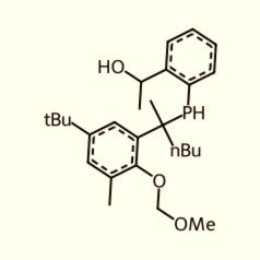 CCCCC(C)(Pc1ccccc1C(C)O)c1cc(C(C)(C)C)cc(C)c1OCOC